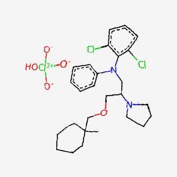 CC1(COCC(CN(c2ccccc2)c2c(Cl)cccc2Cl)N2CCCC2)CCCCC1.[O-][Cl+3]([O-])([O-])O